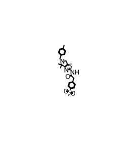 Cc1ccc(CN2Cc3sc(NC(=O)Cc4ccc(S(C)(=O)=O)cc4)nc3C2(C)C)cc1